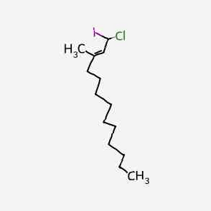 CCCCCCCCCCC(C)=CC(Cl)I